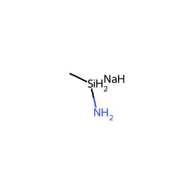 C[SiH2]N.[NaH]